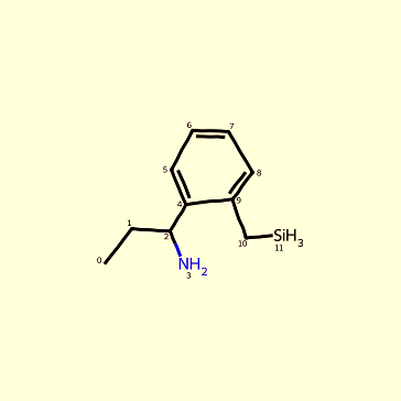 CCC(N)c1ccccc1C[SiH3]